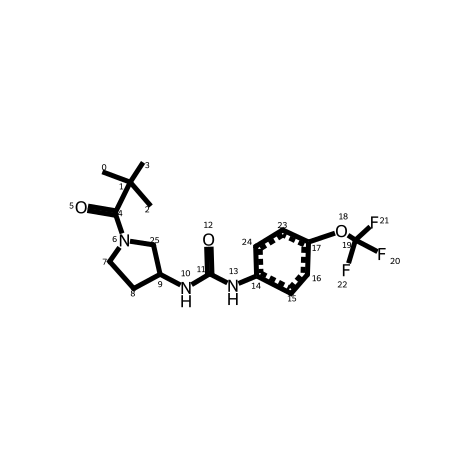 CC(C)(C)C(=O)N1CCC(NC(=O)Nc2ccc(OC(F)(F)F)cc2)C1